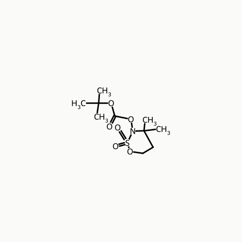 CC(C)(C)OC(=O)ON1C(C)(C)CCOS1(=O)=O